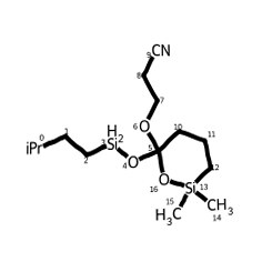 CC(C)CC[SiH2]OC1(OCCC#N)CCC[Si](C)(C)O1